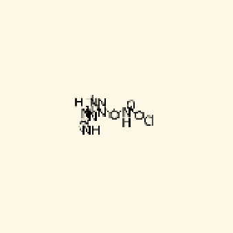 Nc1ncc(-c2cccc(CNC(=O)c3ccc(Cl)cc3)c2)nc1-c1nc([C@H]2CCCNC2)n[nH]1